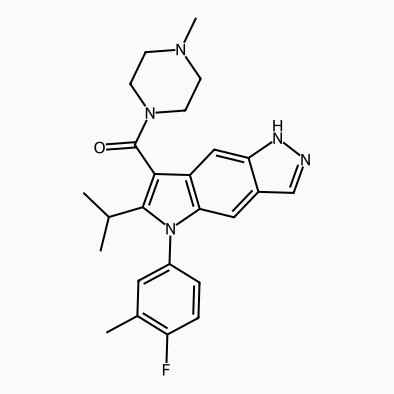 Cc1cc(-n2c(C(C)C)c(C(=O)N3CCN(C)CC3)c3cc4[nH]ncc4cc32)ccc1F